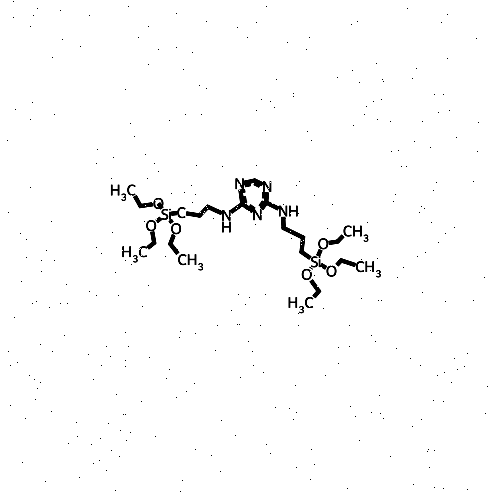 CCO[Si](CCCNc1ncnc(NCCC[Si](OCC)(OCC)OCC)n1)(OCC)OCC